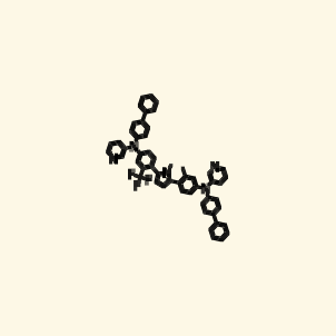 Cc1cc(N(c2ccc(-c3ccccc3)cc2)c2cccnc2)ccc1-c1ccc(-c2ccc(N(c3ccc(-c4ccccc4)cc3)c3cccnc3)cc2C(F)(F)F)n1C